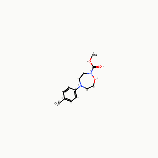 CC(C)(C)OC(=O)N1CCN(c2ccc([N+](=O)[O-])cc2)CCO1